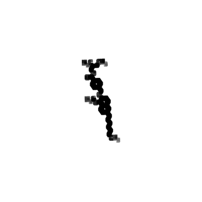 CCCCCCCc1ccc2c(OC)c(OCc3ccc(C(=O)OC[C@H](C)CC)cc3)ccc2c1